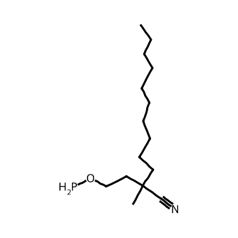 CCCCCCCCCCC(C)(C#N)CCOP